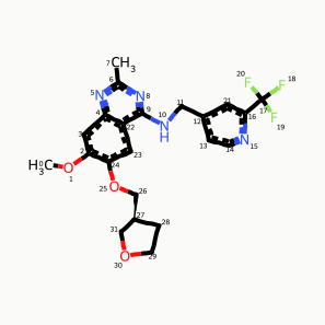 COc1cc2nc(C)nc(NCc3ccnc(C(F)(F)F)c3)c2cc1OC[C@H]1CCOC1